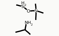 CC(C)N.C[SiH2]O[Si](C)(C)C